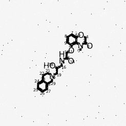 CN1C(=O)COc2cccc(OCC(=O)NCC(O)CN3CCc4ccccc4C3)c21